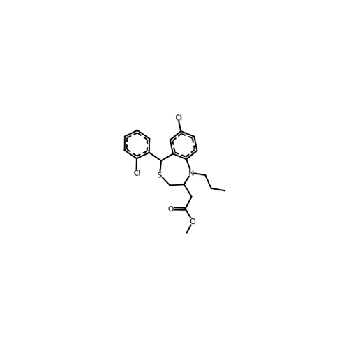 CCCN1c2ccc(Cl)cc2C(c2ccccc2Cl)SCC1CC(=O)OC